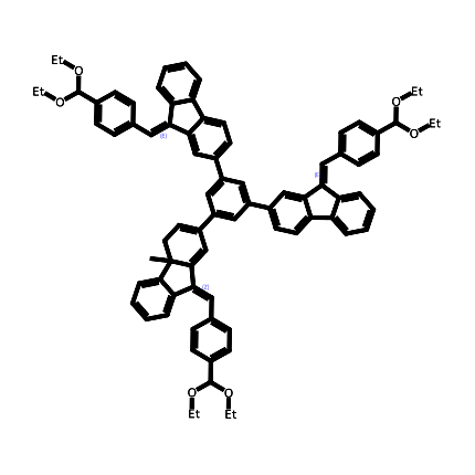 CCOC(OCC)c1ccc(/C=C2/C3=CC(c4cc(-c5ccc6c(c5)/C(=C/c5ccc(C(OCC)OCC)cc5)c5ccccc5-6)cc(-c5ccc6c(c5)/C(=C/c5ccc(C(OCC)OCC)cc5)c5ccccc5-6)c4)=CCC3(C)c3ccccc32)cc1